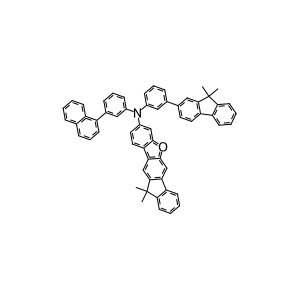 CC1(C)c2ccccc2-c2ccc(-c3cccc(N(c4cccc(-c5cccc6ccccc56)c4)c4ccc5c(c4)oc4cc6c(cc45)C(C)(C)c4ccccc4-6)c3)cc21